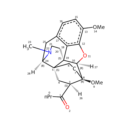 CCCC(=O)[C@H]1C[C@@]23CC[C@]1(OC)[C@@H]1Oc4c(OC)ccc5c4[C@@]12CCN(C)[C@@H]3C5